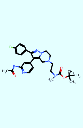 CC(=O)Nc1cc(-c2c(-c3ccc(F)cc3)nn3c2CN(CCN(C)C(=O)OC(C)(C)C)CC3)ccn1